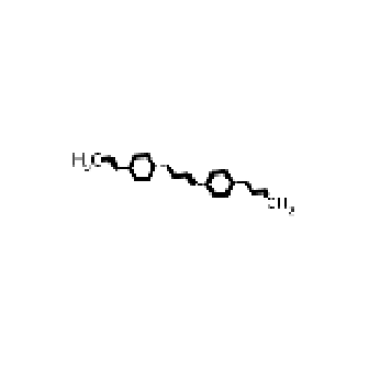 C=CCC[C@H]1CC[C@H](/C=C/CC[C@H]2CC[C@H](/C=C/C)CC2)CC1